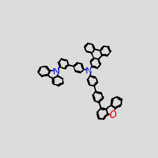 c1cc(-c2ccc(N(c3ccc(-c4ccc(-c5cccc6oc7ccccc7c56)cc4)cc3)c3ccc4c5ccccc5c5ccccc5c4c3)cc2)cc(-n2c3ccccc3c3ccccc32)c1